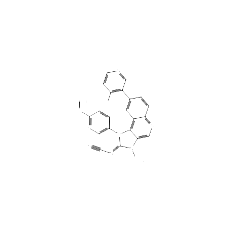 COc1ccc(-n2c(=NC#N)n(C)c3cnc4ccc(-c5cnccc5F)cc4c32)cn1